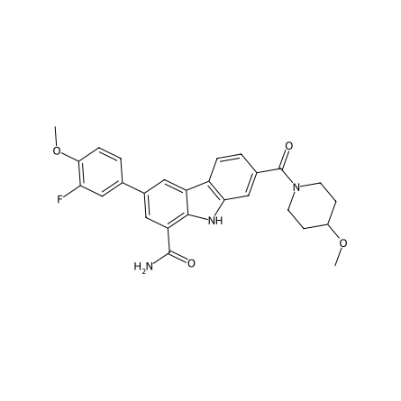 COc1ccc(-c2cc(C(N)=O)c3[nH]c4cc(C(=O)N5CCC(OC)CC5)ccc4c3c2)cc1F